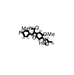 CNC(=O)c1c(-c2ccc(F)cc2)oc2cc(N3C=C(C)ON3)c(OC)cc12